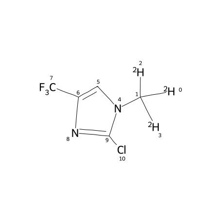 [2H]C([2H])([2H])n1cc(C(F)(F)F)nc1Cl